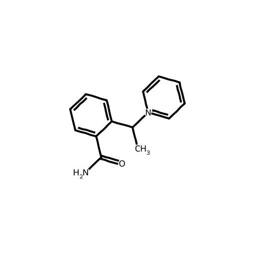 CC(c1ccccc1C(N)=O)[n+]1ccccc1